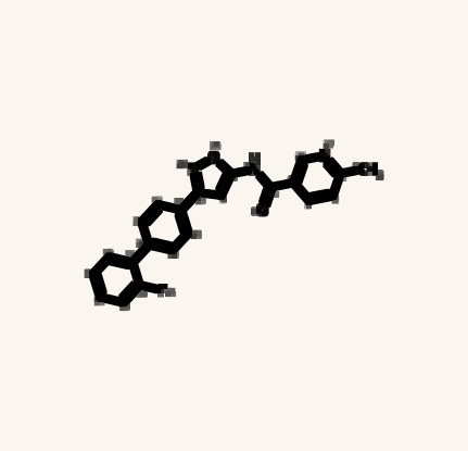 Cc1ccc(C(=O)Nc2cc(-c3ccc(-c4ccccc4F)cc3)no2)cn1